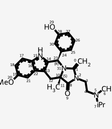 C=C1N(CCN(C)C(C)C)C(=O)[C@]2(C)Cc3c([nH]c4ccc(OC)cc34)[C@@H](c3cccc(O)c3)N12